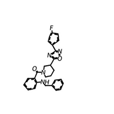 O=C(c1ccccc1NCc1ccccc1)N1CCCC(c2nc(-c3ccc(F)cc3)no2)C1